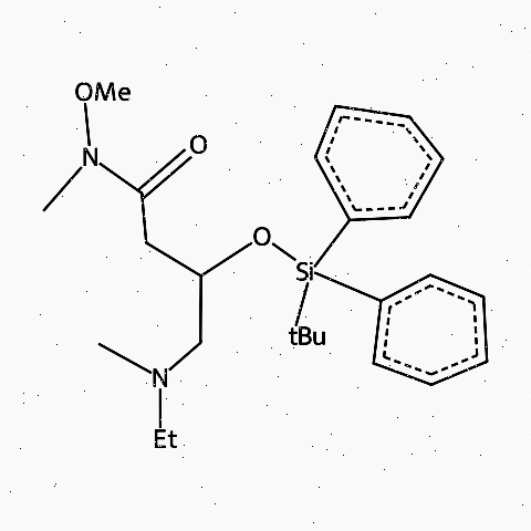 CCN(C)CC(CC(=O)N(C)OC)O[Si](c1ccccc1)(c1ccccc1)C(C)(C)C